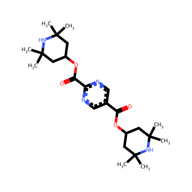 CC1(C)CC(OC(=O)c2cnc(C(=O)OC3CC(C)(C)NC(C)(C)C3)nc2)CC(C)(C)N1